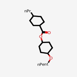 CCCCCOC1CCC(OC(=O)C2CCC(CCC)CC2)CC1